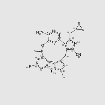 CC1Oc2cc(cnc2N)-c2c(c(C#N)nn2CC2CC2)Cc2cn(C)nc2-c2c(F)cc(F)cc21